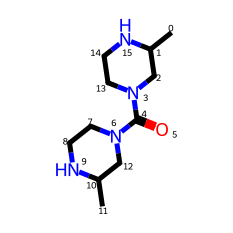 CC1CN(C(=O)N2CCNC(C)C2)CCN1